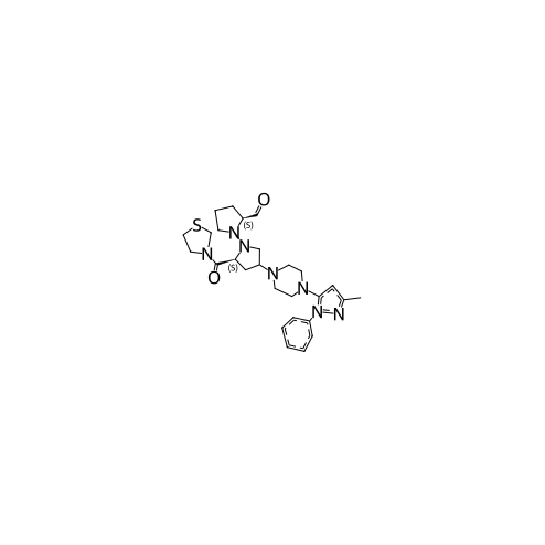 Cc1cc(N2CCN(C3C[C@@H](C(=O)N4CCSC4)N(N4CCC[C@H]4C=O)C3)CC2)n(-c2ccccc2)n1